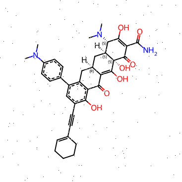 CN(C)c1ccc(-c2cc(C#CC3=CCCCC3)c(O)c3c2C[C@H]2C[C@H]4[C@H](N(C)C)C(O)=C(C(N)=O)C(=O)[C@@]4(O)C(O)=C2C3=O)cc1